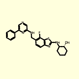 O[C@@H]1CCCCC1Nc1nc2ccc(CNc3cncc(-c4ccccc4)n3)c(F)c2s1